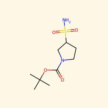 CC(C)(C)OC(=O)N1CCC(S(N)(=O)=O)C1